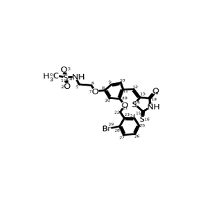 CS(=O)(=O)NCCOc1ccc(/C=C2\SC(=S)NC2=O)c(OCc2ccccc2Br)c1